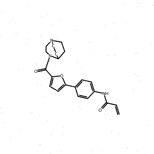 C=CC(=O)Nc1ccc(-c2ccc(C(=O)N3CCN4CCC3CC4)o2)cc1